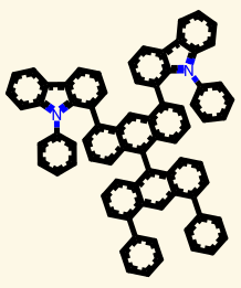 c1ccc(-c2cccc3c(-c4c5cccc(-c6cccc7c8ccccc8n(-c8ccccc8)c67)c5cc5c(-c6cccc7c8ccccc8n(-c8ccccc8)c67)cccc45)c4cccc(-c5ccccc5)c4cc23)cc1